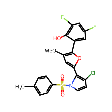 COc1cc(-c2c(Cl)ccn2S(=O)(=O)c2ccc(C)cc2)oc1-c1cc(F)cc(F)c1O